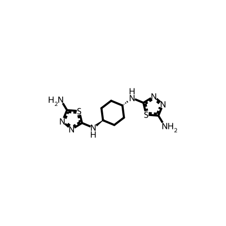 Nc1nnc(N[C@H]2CC[C@H](Nc3nnc(N)s3)CC2)s1